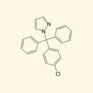 Clc1ccc(C(c2ccccc2)(c2ccccc2)n2cccn2)cc1